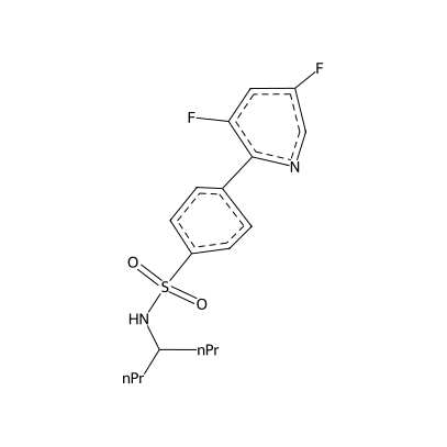 CCCC(CCC)NS(=O)(=O)c1ccc(-c2ncc(F)cc2F)cc1